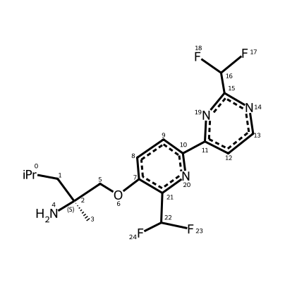 CC(C)C[C@](C)(N)COc1ccc(-c2ccnc(C(F)F)n2)nc1C(F)F